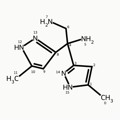 Cc1cc(C(N)(CN)c2cc(C)[nH]n2)n[nH]1